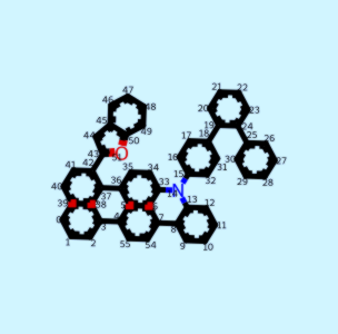 c1ccc(-c2ccc(-c3ccccc3N(c3ccc(-c4ccccc4-c4ccccc4)cc3)c3ccc(-c4ccccc4-c4cc5ccccc5o4)cc3)cc2)cc1